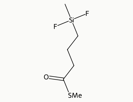 CSC(=O)CCC[Si](C)(F)F